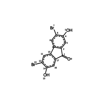 O=C1c2cc(O)c(Br)cc2-c2cc(Br)c(O)cc21